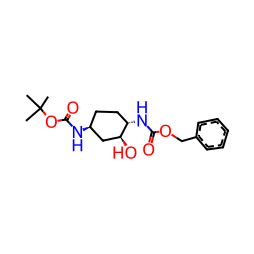 CC(C)(C)OC(=O)N[C@H]1CC[C@H](NC(=O)OCc2ccccc2)[C@@H](O)C1